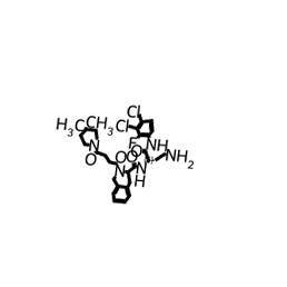 CC1(C)CCN(C(=O)CCC(=O)N2Cc3ccccc3CC2C(=O)N[C@@H](CCN)C(=O)Nc2ccc(Cl)c(Cl)c2F)CC1